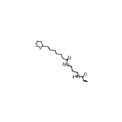 C=CC(=O)NCCCNC(=O)CCCCCCC1CCSS1